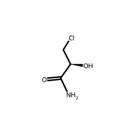 NC(=O)[C@H](O)CCl